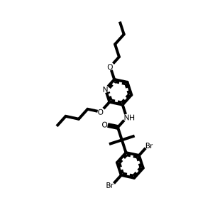 CCCCOc1ccc(NC(=O)C(C)(C)c2cc(Br)ccc2Br)c(OCCCC)n1